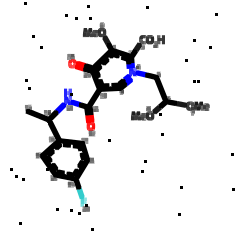 COc1c(C(=O)O)n(CC(OC)OC)cc(C(=O)NC(C)c2ccc(F)cc2)c1=O